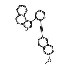 COc1ccc2cc(C#Cc3ccccc3-c3coc4ccc5ccccc5c34)ccc2c1